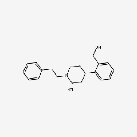 Cl.OCc1ccccc1C1CCN(CCc2ccccc2)CC1